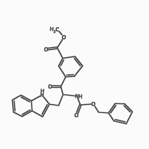 COC(=O)c1cccc(C(=O)C(Cc2cc3ccccc3[nH]2)NC(=O)OCc2ccccc2)c1